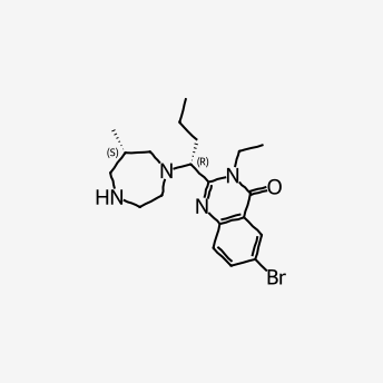 CCC[C@H](c1nc2ccc(Br)cc2c(=O)n1CC)N1CCNC[C@H](C)C1